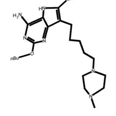 CCCCOc1nc(N)c2[nH]c(C#N)c(CCCCCN3CCN(C)CC3)c2n1